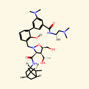 CCC[C@@H](CN(C)C)NC(=O)c1cc(-c2cccc(CN3O[C@@H](CO)[C@@H]([C@H](C)O)[C@H]3C(=O)N[C@H]3C[C@H]4C[C@@H]([C@@H]3C)C4(C)C)c2OCC)cc(N(C)C)c1